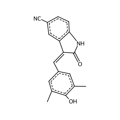 Cc1cc(/C=C2\C(=O)Nc3ccc(C#N)cc32)cc(C)c1O